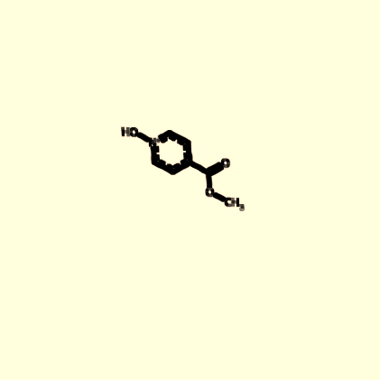 COC(=O)c1cc[n+](O)cc1